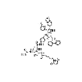 Cc1cccc(-c2nc(CN(Cc3ccccc3-c3ccccc3F)C(=O)OCc3ccc(NC(=O)C(CCCNC(N)=O)NC(=O)C(NC(=O)CCCCCN4C(=O)C=CC4=O)C(C)C)cc3)[nH]c2-c2ccc3ncnn3c2)n1